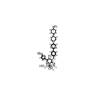 CCCC1CCC(C2CCN(c3cnc(-c4ccc(C[C@H](NC(=O)c5ccc(C(C)(C)C)s5)C(=O)NC(C)(C)C(=O)O)cc4)nc3)CC2)CC1